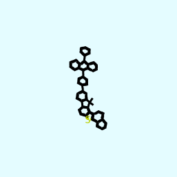 CC1(C)c2cc(-c3ccc(-c4c5ccccc5c(-c5ccccc5)c5ccccc45)cc3)ccc2-c2ccc3sc4c5ccccc5ccc4c3c21